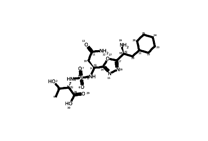 CC(O)[C@H](NS(=O)(=O)N[C@@H](CC(N)=O)c1nnc([C@@H](N)CC2CCCCC2)o1)C(=O)O